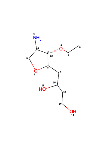 CCO[C@H]1C(N)COC1CC(O)CCO